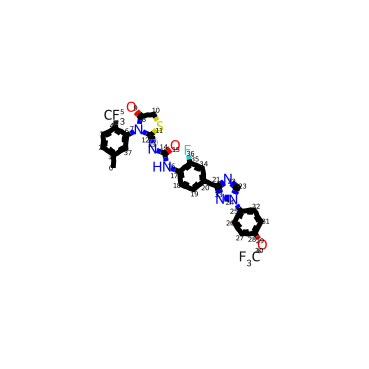 Cc1ccc(C(F)(F)F)c(N2C(=O)CS/C2=N\C(=O)Nc2ccc(-c3ncn(-c4ccc(OC(F)(F)F)cc4)n3)cc2F)c1